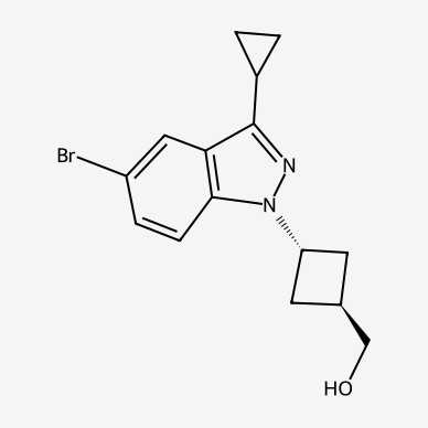 OC[C@H]1C[C@H](n2nc(C3CC3)c3cc(Br)ccc32)C1